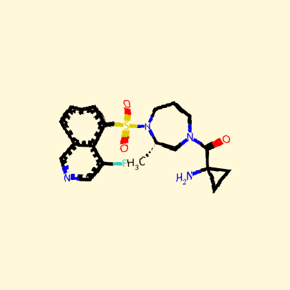 C[C@H]1CN(C(=O)C2(N)CC2)CCCN1S(=O)(=O)c1cccc2cncc(F)c12